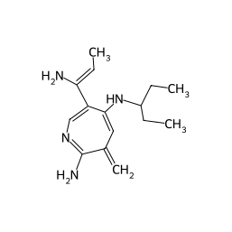 C=C1C=C(NC(CC)CC)C(C(N)=CC)=CN=C1N